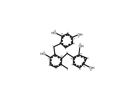 Cc1ccc(O)c(Cc2ccc(O)cc2O)c1Cc1ccc(O)cc1O